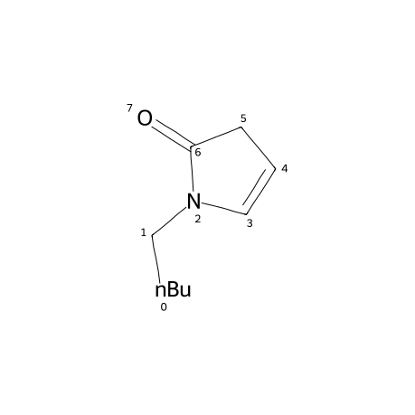 CCCCCN1C=CCC1=O